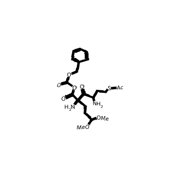 COC(CCC(N)(C(=O)OC(=O)OCc1ccccc1)C(=O)C(N)CCSC(C)=O)OC